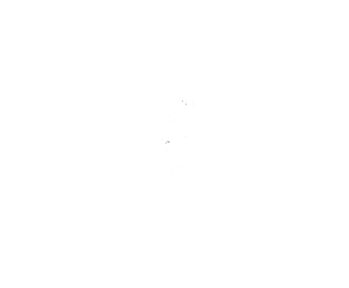 NCC(O)C1CCc2cc(F)ccc2O1